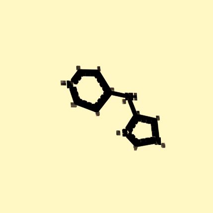 c1cc(Nc2cncs2)ccn1